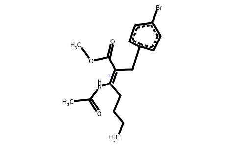 CCCC/C(NC(C)=O)=C(\Cc1ccc(Br)cc1)C(=O)OC